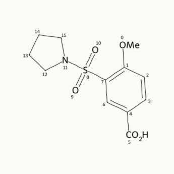 COc1ccc(C(=O)O)cc1S(=O)(=O)N1CCCC1